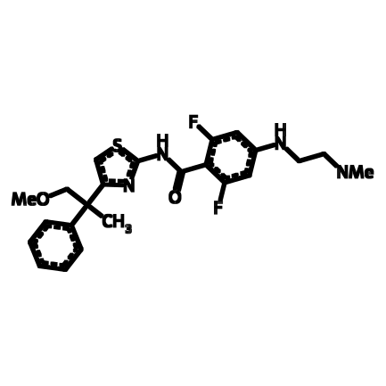 CNCCNc1cc(F)c(C(=O)Nc2nc(C(C)(COC)c3ccccc3)cs2)c(F)c1